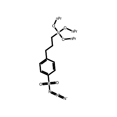 CCCO[Si](CCCc1ccc(S(=O)(=O)N=[N+]=[N-])cc1)(OCCC)OCCC